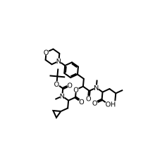 CC(C)CC(C(=O)O)N(C)C(=O)C(Cc1ccc(N2CCOCC2)cc1)OC(=O)C(CC1CC1)N(C)C(=O)OC(C)(C)C